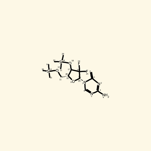 C=C1N=C(N)N=CN1[C@@H]1O[C@H](CO[Si](C)(C)C)C(O[Si](C)(C)C)C1(F)F